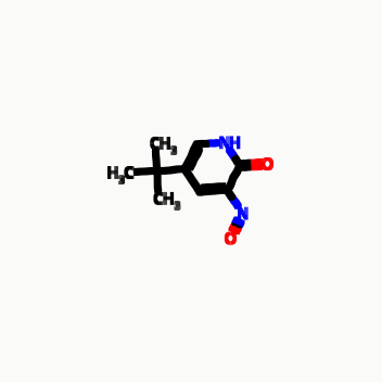 CC(C)(C)c1c[nH]c(=O)c(N=O)c1